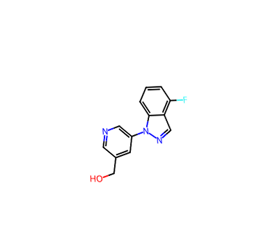 OCc1cncc(-n2ncc3c(F)cccc32)c1